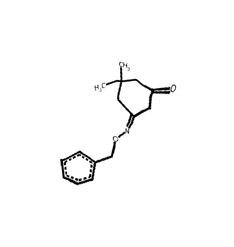 CC1(C)CC(=O)CC(=NOCc2ccccc2)C1